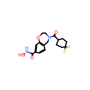 O=C(NO)c1ccc2c(c1)OCCN(C(=O)C1CCC(F)(F)CC1)C2